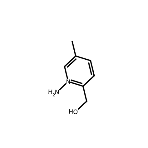 Cc1ccc(CO)[n+](N)c1